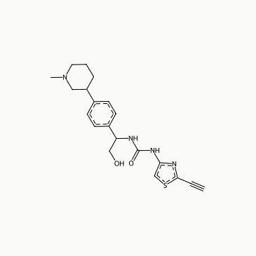 C#Cc1nc(NC(=O)NC(CO)c2ccc(C3CCCN(C)C3)cc2)cs1